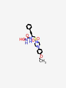 CCOc1ccc(N2CCN(S(=O)(=O)CC(C#Cc3ccccc3)NC(=O)NO)CC2)cc1